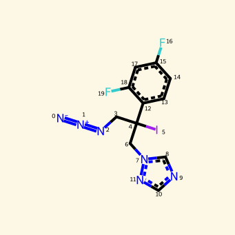 [N-]=[N+]=NCC(I)(Cn1cncn1)c1ccc(F)cc1F